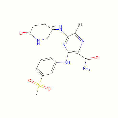 CCc1nc(C(N)=O)c(Nc2cccc(S(C)(=O)=O)c2)nc1N[C@@H]1CCC(=O)NC1